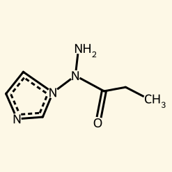 CCC(=O)N(N)n1ccnc1